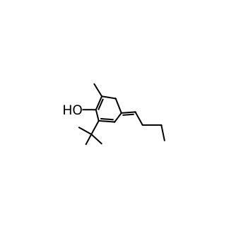 CCCC=C1C=C(C(C)(C)C)C(O)=C(C)C1